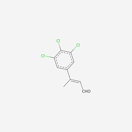 CC(=CC=O)c1cc(Cl)c(Cl)c(Cl)c1